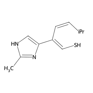 Cc1nc(C(/C=C\C(C)C)=C/S)c[nH]1